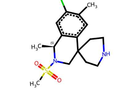 Cc1cc2c(cc1Cl)[C@H](C)N(S(C)(=O)=O)CC21CCNCC1